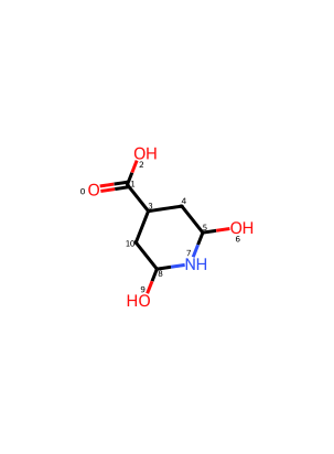 O=C(O)C1CC(O)NC(O)C1